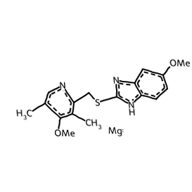 COc1ccc2[nH]c(SCc3ncc(C)c(OC)c3C)nc2c1.[Mg]